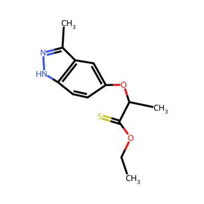 CCOC(=S)C(C)Oc1ccc2[nH]nc(C)c2c1